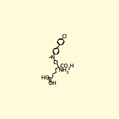 CN(c1ccc(-c2ccc(Cl)cc2)cc1)[C@H]1C[C@H]([C@@](N)(CCCCB(O)O)C(=O)O)C1